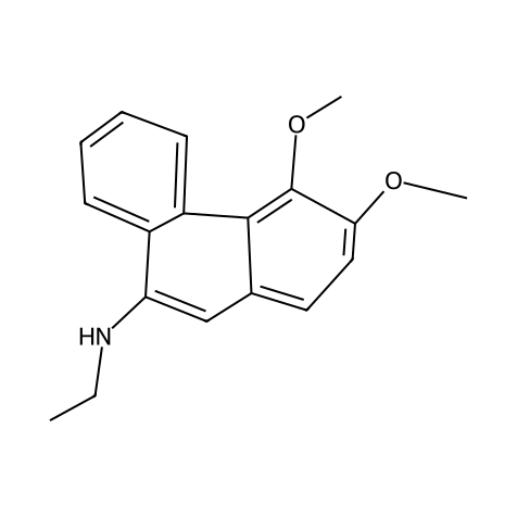 CCNc1cc2ccc(OC)c(OC)c2c2ccccc12